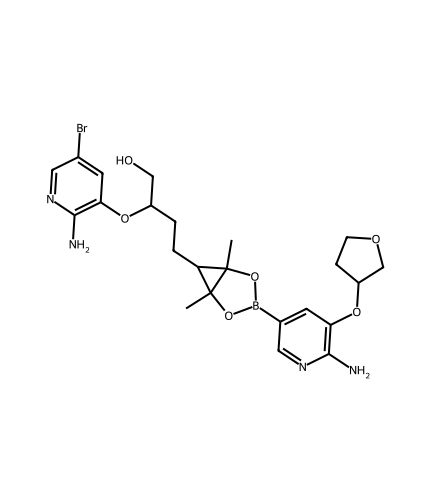 CC12OB(c3cnc(N)c(OC4CCOC4)c3)OC1(C)C2CCC(CO)Oc1cc(Br)cnc1N